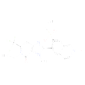 CCn1c(C(F)(F)F)cc2nc(-c3cc4cc[n+]([O-])cc4cc3S(=O)(=O)CC)n(C)c2c1=O